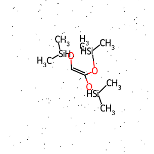 C[SiH](C)OC=C(O[SiH](C)C)O[SiH](C)C